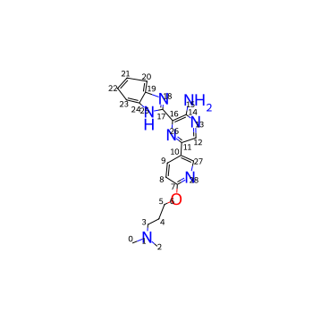 CN(C)CCCOc1ccc(-c2cnc(N)c(-c3nc4ccccc4[nH]3)n2)cn1